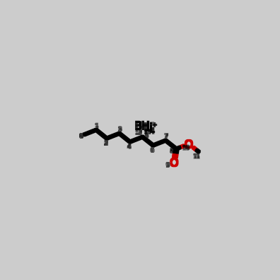 CCCCCCCCC(=O)OC.[BH4-].[Li+]